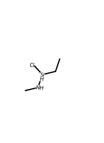 CC[SiH](Cl)NC